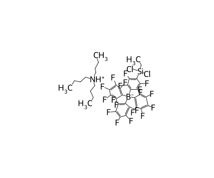 CCCC[NH+](CCCC)CCCC.CC[Si](Cl)(Cl)c1c(F)c(F)c([B-](c2c(F)c(F)c(F)c(F)c2F)(c2c(F)c(F)c(F)c(F)c2F)c2c(F)c(F)c(F)c(F)c2F)c(F)c1F